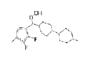 Cc1ccc(C(OO)C2CCC(C3CCC(C)CC3)CC2)c(F)c1F